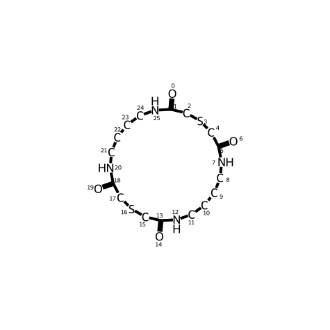 O=C1CSCC(=O)NCCCCNC(=O)CSCC(=O)NCCCCN1